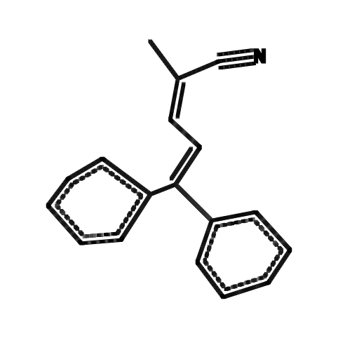 CC(C#N)=CC=C(c1ccccc1)c1ccccc1